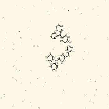 c1cnc2c(c1)c1cccnc1n2-c1ccc(Cc2ccc(Cc3ccc(-n4c5ncccc5c5cccnc54)cc3)cc2)cc1